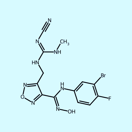 CN/C(=N\C#N)NCc1nonc1/C(=N/O)Nc1ccc(F)c(Br)c1